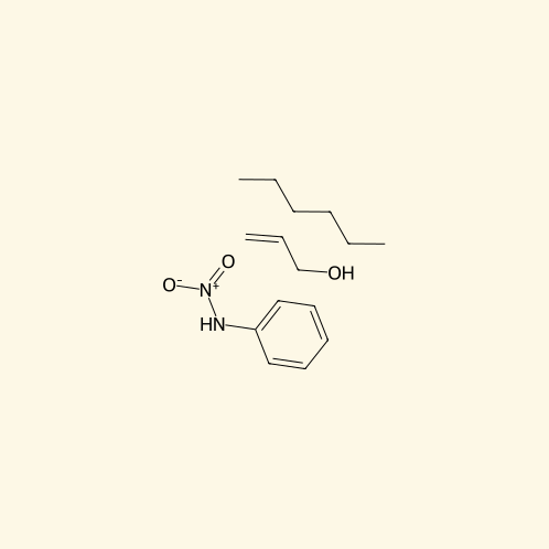 C=CCO.CCCCCC.O=[N+]([O-])Nc1ccccc1